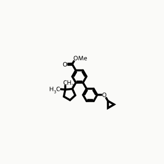 COC(=O)c1ccc(-c2cccc(OC3CC3)c2)c(C2CCCC2(C)C)c1